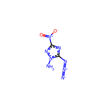 [N-]=[N+]=Nc1nc([N+](=O)[O-])nn1N